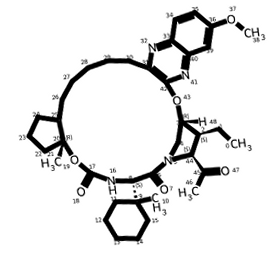 CC[C@@H]1[C@@H]2CN(C(=O)[C@H](C3(C)CCCCC3)NC(=O)O[C@]3(C)CCCC3CCCCCc3nc4ccc(OC)cc4nc3O2)[C@@H]1C(C)=O